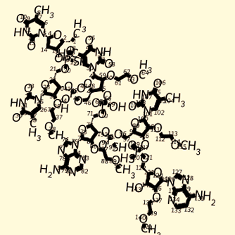 CC[C@H]1O[C@@H](n2cc(C)c(=O)[nH]c2=O)C[C@H]1OP(=O)(S)OC[C@H]1O[C@@H](n2cc(C)c(=O)[nH]c2=O)C(OCCOC)[C@H]1OP(=O)(O)OC[C@H]1O[C@@H](n2cc(C)c(=O)[nH]c2=O)C(OCCOC)[C@H]1OP(=O)(O)OC[C@H]1O[C@@H](n2cnc3c(N)ncnc32)C(OCCOC)[C@H]1OP(=O)(S)OC[C@H]1O[C@@H](n2cc(C)c(=O)[nH]c2=O)C(OCCOC)[C@H]1OP(=O)(S)OC[C@H]1O[C@@H](n2cnc3c(N)ccnc32)C(OCCOC)[C@H]1O